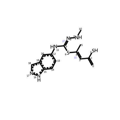 C=C(S)/C=C(\C)S/C(=N\NC)Nc1ccc2[nH]ncc2c1